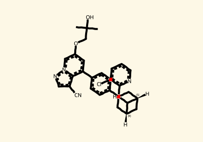 CC(C)(O)COc1cc(-c2ccc(N3C[C@H]4C[C@@H](C3)C4Nc3ncccc3Cl)nc2)c2c(C#N)cnn2c1